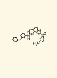 NC1CCN(C(=O)c2cc3c(ccc4cnc(Nc5cccc(Cc6ccccc6)c5)nc43)s2)C1